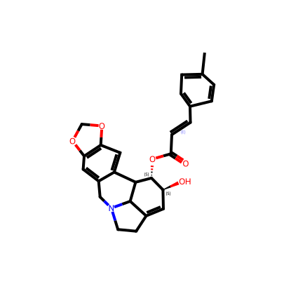 Cc1ccc(/C=C/C(=O)O[C@H]2C3c4cc5c(cc4CN4CCC(=C[C@@H]2O)C34)OCO5)cc1